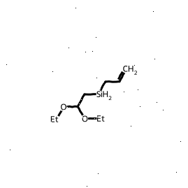 C=CC[SiH2]CC(OCC)OCC